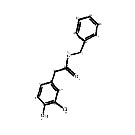 O=C(Cc1ccc(O)c(Cl)c1)OCc1ccccc1